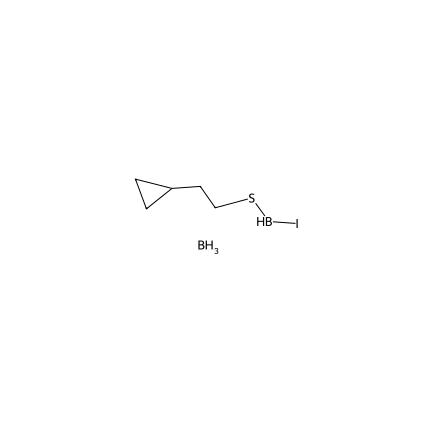 B.IBSCCC1CC1